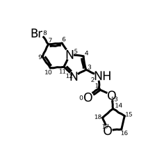 O=C(Nc1cn2cc(Br)ccc2n1)OC1CCOC1